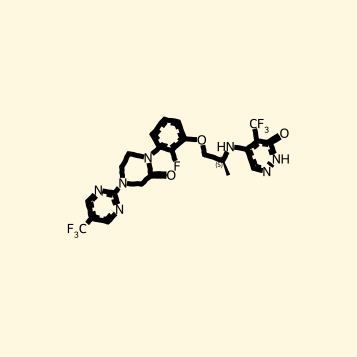 C[C@@H](COc1cccc(N2CCN(c3ncc(C(F)(F)F)cn3)CC2=O)c1F)Nc1cn[nH]c(=O)c1C(F)(F)F